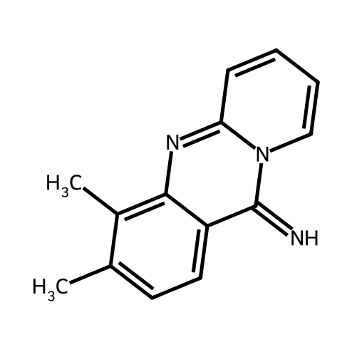 Cc1ccc2c(=N)n3ccccc3nc2c1C